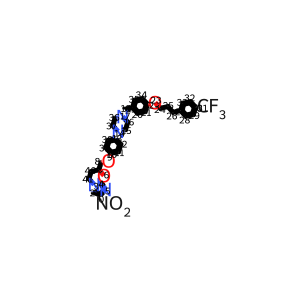 O=[N+]([O-])c1cn2c(n1)OC(COc1ccc(N3CCN(Cc4ccc(OCCCc5ccc(C(F)(F)F)cc5)cc4)CC3)cc1)CC2